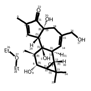 CC1=C[C@H]2[C@@]3(O)[C@H](C)[C@@H](O)[C@]4(O)[C@H]([C@@H]3C=C(CO)C[C@]2(O)C1=O)C4(C)C.CCOCC